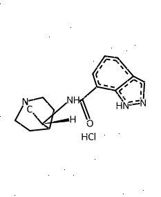 Cl.O=C(N[C@H]1CN2CCC1CC2)c1cccc2cn[nH]c12